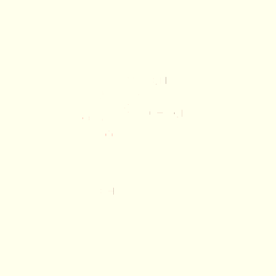 CCCCOC(=O)C(C)OC(=O)C(C)(C)CC